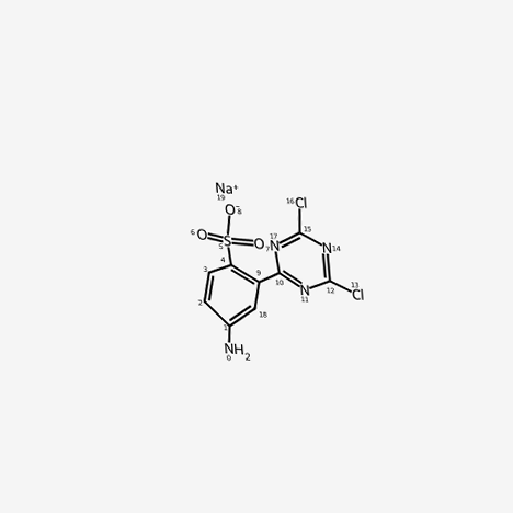 Nc1ccc(S(=O)(=O)[O-])c(-c2nc(Cl)nc(Cl)n2)c1.[Na+]